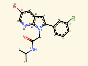 CC(C)NC(=O)Cn1c(-c2cccc(Cl)c2)cc2cc(Br)cnc21